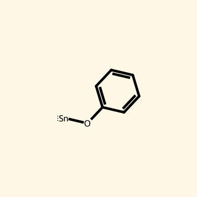 [Sn][O]c1ccccc1